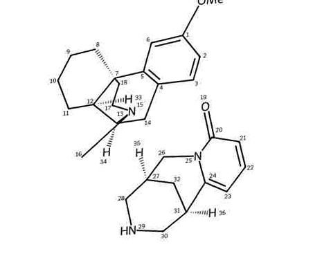 COc1ccc2c(c1)[C@]13CCCC[C@@H]1[C@H](C2)N(C)CC3.O=c1cccc2n1C[C@@H]1CNC[C@H]2C1